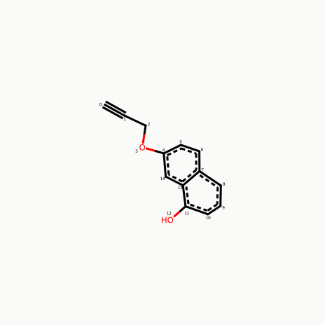 C#CCOc1ccc2cccc(O)c2c1